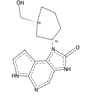 O=c1[nH]c2cnc3[nH]ccc3c2n1[C@H]1CCC[C@@H](CO)C1